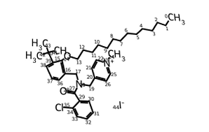 CCCCCCCCCCCCCCOc1c(CN(Cc2cc[n+](C)cc2)C(=O)c2ccccc2Cl)cccc1C(C)(C)C.[I-]